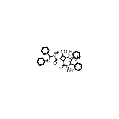 CCCN(C(=O)[C@@H]1[C@H](C(=O)O)[C@H](C(=O)O)[C@@H]1C(=O)N(CCC)C(Oc1ccccc1)c1ccccc1)C(Oc1ccccc1)c1ccccc1